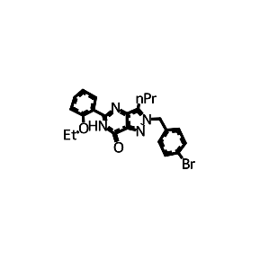 CCCc1c2nc(-c3ccccc3OCC)[nH]c(=O)c2nn1Cc1ccc(Br)cc1